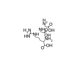 N=C(N)NCCCC(N)C(=O)O.NCC(=O)O.NCC(=O)O